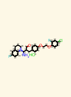 Cl.NC(C(C=O)Cc1ccc(OCCOc2ccc(Cl)cc2F)cc1)N1CCCc2cc(F)ccc21